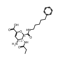 CCC(=O)N[C@@H]1[C@@H](N)C=C(C(=O)O)O[C@H]1C(=O)NCCCCCc1ccccc1